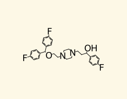 OC(CCN1CCN(CCOC(c2ccc(F)cc2)c2ccc(F)cc2)CC1)c1ccc(F)cc1